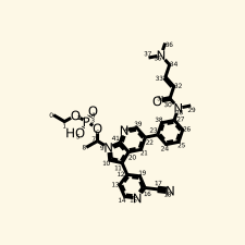 CCOP(=O)(O)OC(C)n1cc(-c2ccnc(C#N)c2)c2cc(-c3cccc(N(C)C(=O)C=CCN(C)C)c3)cnc21